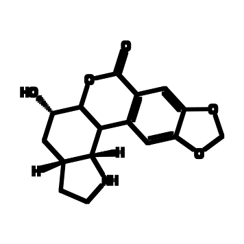 O=C1OC2C(c3cc4c(cc31)OCO4)[C@@H]1NCC[C@@H]1C[C@@H]2O